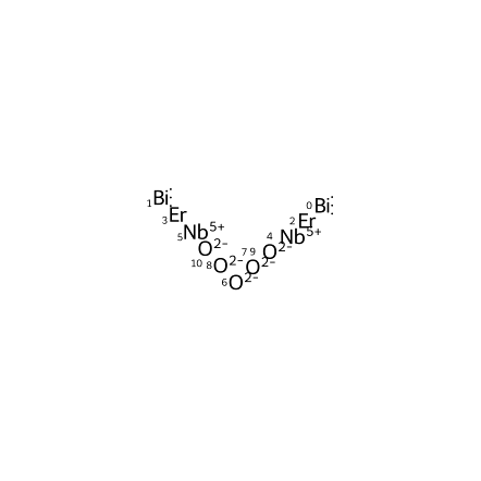 [Bi].[Bi].[Er].[Er].[Nb+5].[Nb+5].[O-2].[O-2].[O-2].[O-2].[O-2]